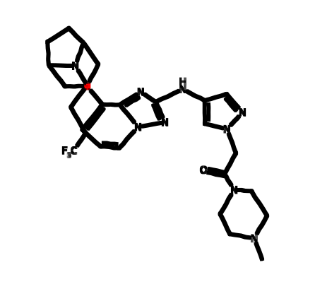 CN1CCN(C(=O)Cn2cc(Nc3nc4c(N5CC6CCC(C5)N6CCCC(F)(F)F)cccn4n3)cn2)CC1